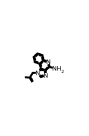 C=C(C)Cn1cnc2c(N)nc3ccccc3c21